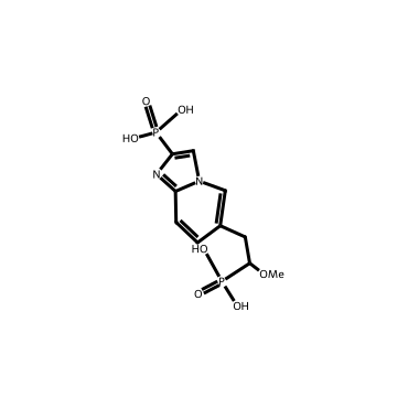 COC(Cc1ccc2nc(P(=O)(O)O)cn2c1)P(=O)(O)O